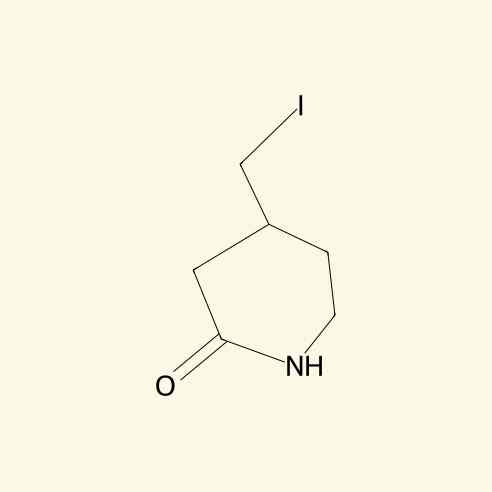 O=C1CC(CI)CCN1